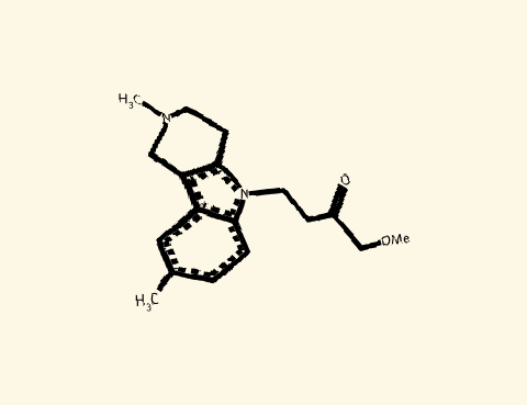 COCC(=O)CCn1c2c(c3cc(C)ccc31)CN(C)CC2